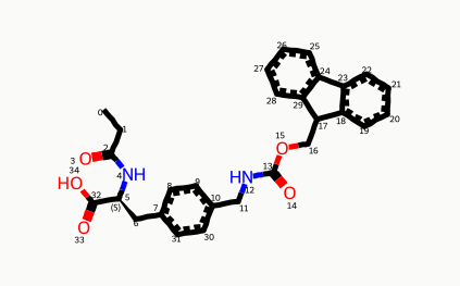 CCC(=O)N[C@@H](Cc1ccc(CNC(=O)OCC2c3ccccc3-c3ccccc32)cc1)C(=O)O